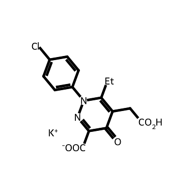 CCc1c(CC(=O)O)c(=O)c(C(=O)[O-])nn1-c1ccc(Cl)cc1.[K+]